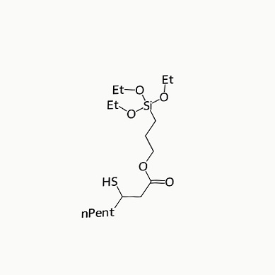 CCCCCC(S)CC(=O)OCCC[Si](OCC)(OCC)OCC